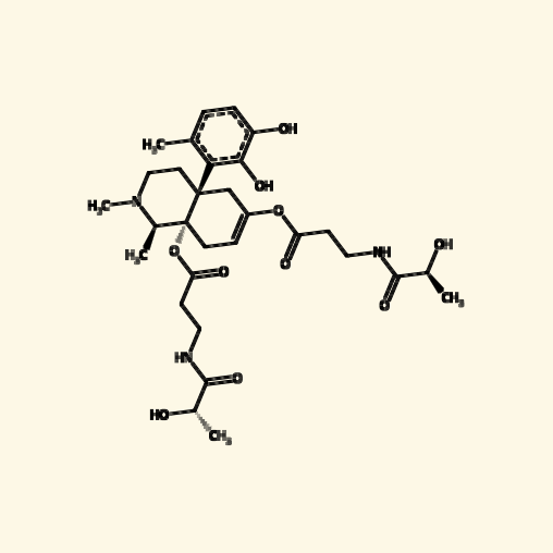 Cc1ccc(O)c(O)c1[C@]12CCN(C)[C@H](C)[C@]1(OC(=O)CCNC(=O)[C@H](C)O)CC=C(OC(=O)CCNC(=O)[C@H](C)O)C2